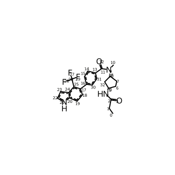 CCC(=O)N[C@H]1CC[C@@H](N(C)C(=O)c2ccc(-c3ccc4[nH]ccc4c3C(F)(F)F)cc2)C1